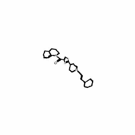 O=C(c1csc(C2CCN(CCC3CCCCC3)CC2)n1)N1CCCC2CCCC=C21